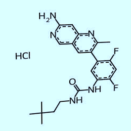 Cc1nc2cc(N)ncc2cc1-c1cc(NC(=O)NCCC(C)(C)C)c(F)cc1F.Cl